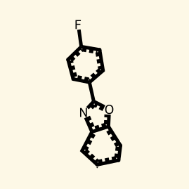 Fc1ccc(-c2nc3c[c]ccc3o2)cc1